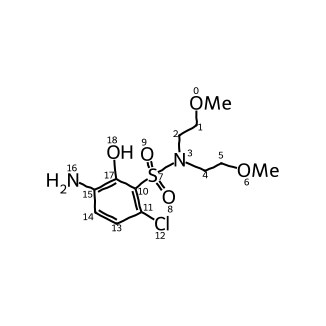 COCCN(CCOC)S(=O)(=O)c1c(Cl)ccc(N)c1O